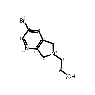 OCCN1Cc2cc(Br)cnc2C1